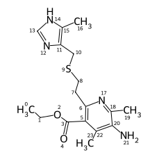 CCOC(=O)c1c(CCSCc2nc[nH]c2C)nc(C)c(N)c1C